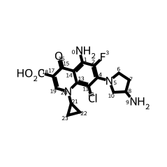 Nc1c(F)c(N2CCC(N)C2)c(Cl)c2c1c(=O)c(C(=O)O)cn2C1CC1